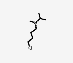 CC(C)[N+](C)CCCCCl